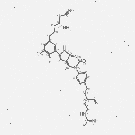 C=C[C@@H](CCNC(C)=N)NCc1ccc(-n2cc3cc(-c4cc(CCC[C@@H](N)CC#N)cc(Cl)c4F)[nH]c3nc2=O)cc1